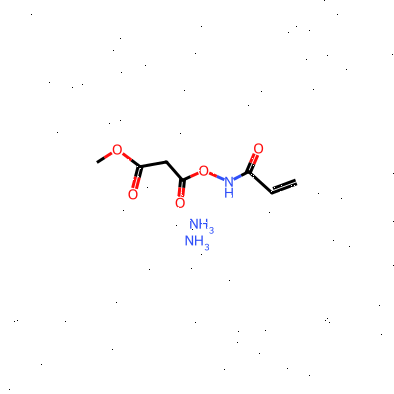 C=CC(=O)NOC(=O)CC(=O)OC.N.N